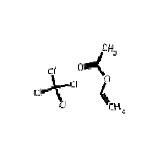 C=COC(C)=O.ClC(Cl)(Cl)Cl